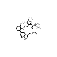 Cc1c(CCOc2c(F)cccc2-c2ccc3ncc(CCN)n3c2)c(C(=O)N(C)C)nn1C